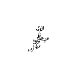 COc1nc2[nH]cc(F)c2cc1Oc1cc(N2CCC3(CC2)CC(N2[C@H](C)COC[C@H]2c2ccccc2C(C)C)C3)ccc1C(=O)NS(=O)(=O)c1cnc(NCC2CCC(C)(O)CC2)c([N+](=O)[O-])c1